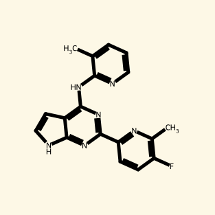 Cc1cccnc1Nc1nc(-c2ccc(F)c(C)n2)nc2[nH]ccc12